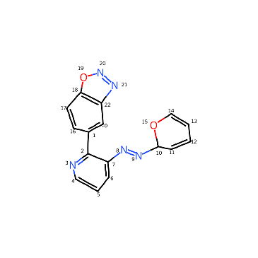 [c]1c(-c2ncccc2N=NC2C=CC=CO2)ccc2onnc12